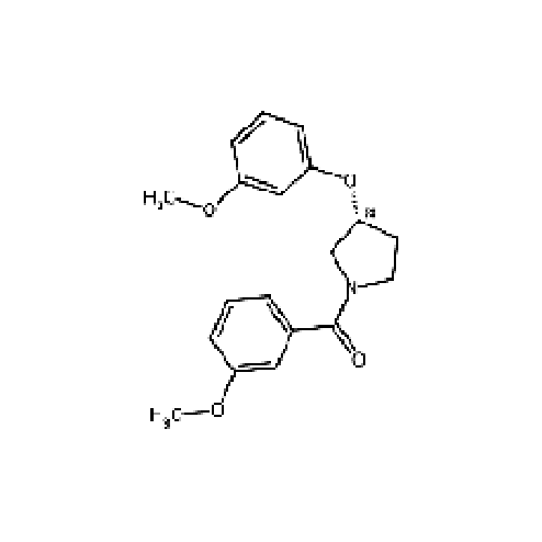 COc1cccc(O[C@@H]2CCN(C(=O)c3cccc(OC)c3)C2)c1